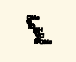 COc1cncc(-c2cc3cc(-c4ccc(N5CCC(OC)C5)nc4)[nH]c3cc2Cl)c1